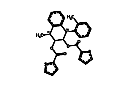 Cc1ccccc1[C@H]1c2ccccc2[C@H](C)C(OC(=O)c2cccs2)C1OC(=O)c1cccs1